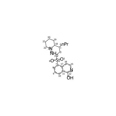 CCCC(CCS(=O)(=O)c1cccc2c(O)nccc12)C1CCCCN1N